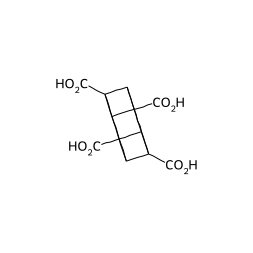 O=C(O)C12C3C4(C(=O)O)C1C1(C(=O)O)C2C3(C(=O)O)C41